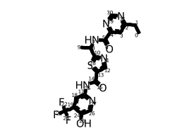 CCc1cc(C(=O)NC(C)c2ncc(C(=O)Nc3cc(C(F)(F)F)c(O)cn3)s2)ncn1